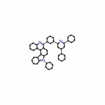 c1ccc(-c2cc(-c3ccccc3)nc(-c3cccc(-c4nc5ccccc5c5c4ccc4c5c5ccccc5n4-c4ccccc4)c3)c2)cc1